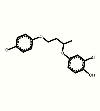 CC(CCOc1ccc(Cl)cc1)Oc1ccc(O)c(Cl)c1